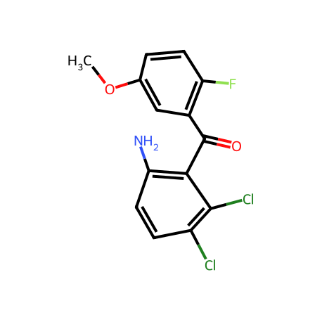 COc1ccc(F)c(C(=O)c2c(N)ccc(Cl)c2Cl)c1